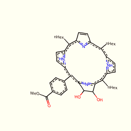 CCCCCCc1c2nc(c(CCCCCC)c3ccc([nH]3)c(-c3ccc(C(=O)OC)cc3)c3nc(c(CCCCCC)c4ccc1[nH]4)C(O)C3O)C=C2